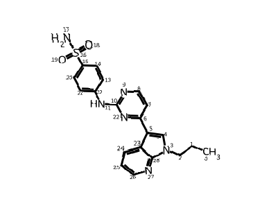 CCCn1cc(-c2ccnc(Nc3ccc(S(N)(=O)=O)cc3)n2)c2cccnc21